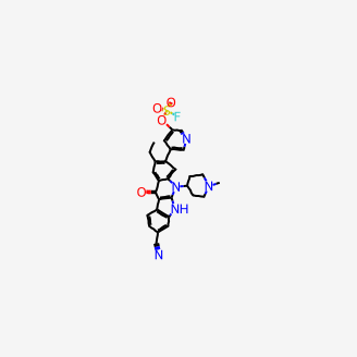 CCc1cc2c(=O)c3c4ccc(C#N)cc4[nH]c3n(C3CCN(C)CC3)c2cc1-c1cncc(OS(=O)(=O)F)c1